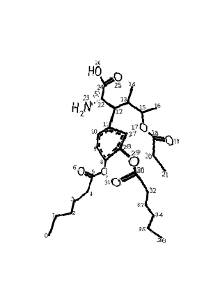 CCCCCC(=O)Oc1ccc(C(C(C)C(C)OC(=O)CC)[C@H](N)C(=O)O)cc1OC(=O)CCCCC